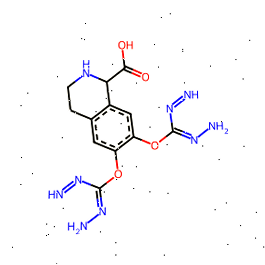 N=NC(=NN)Oc1cc2c(cc1OC(N=N)=NN)C(C(=O)O)NCC2